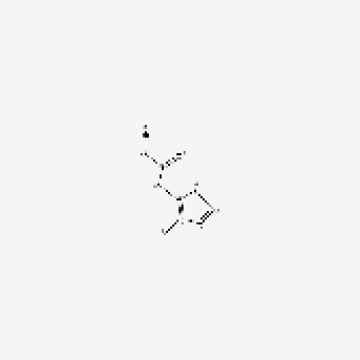 Cc1ccsc1CC(=O)CBr